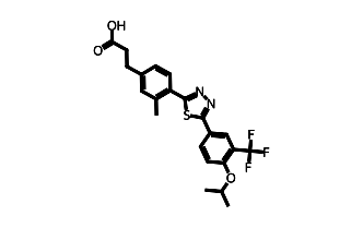 Cc1cc(CCC(=O)O)ccc1-c1nnc(-c2ccc(OC(C)C)c(C(F)(F)F)c2)s1